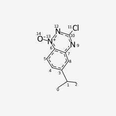 CC(C)c1ccc2c(c1)nc(Cl)n[n+]2[O-]